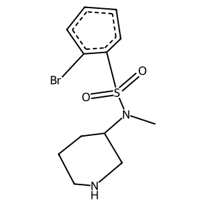 CN(C1CCCNC1)S(=O)(=O)c1ccccc1Br